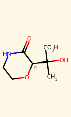 CC(O)(C(=O)O)[C@H]1OCCNC1=O